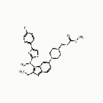 CCc1nc2ccc(N3CCN(SCC(=O)OC)CC3)cn2c1N(C)c1nc(-c2ccc(F)cc2)cs1